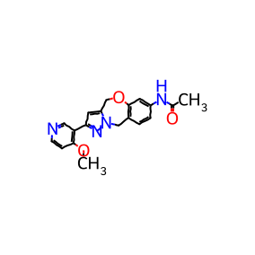 COc1ccncc1-c1cc2n(n1)Cc1ccc(NC(C)=O)cc1OC2